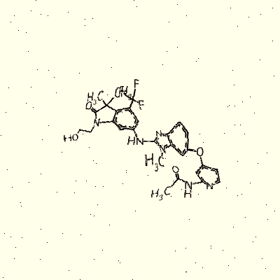 CC(=O)Nc1cc(Oc2ccc3nc(Nc4cc5c(c(C(F)(F)F)c4)C(C)(C)C(=O)N5CCO)n(C)c3c2)ccn1